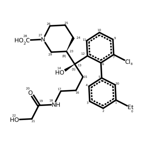 CCc1cccc(-c2c(Cl)cccc2[C@](O)(CCCNC(=O)CO)[C@@H]2CCCN(C(=O)O)C2)c1